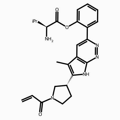 C=CC(=O)N1CC[C@@H](c2[nH]c3nnc(-c4ccccc4OC(=O)[C@@H](N)C(C)C)cc3c2C)C1